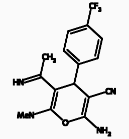 CNC1=C(C(C)=N)C(c2ccc(C(F)(F)F)cc2)C(C#N)=C(N)O1